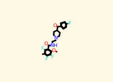 COc1c(F)c(F)c(C)c(F)c1C(=O)NCCN1CCC(C(=O)c2ccc(F)cc2)CC1